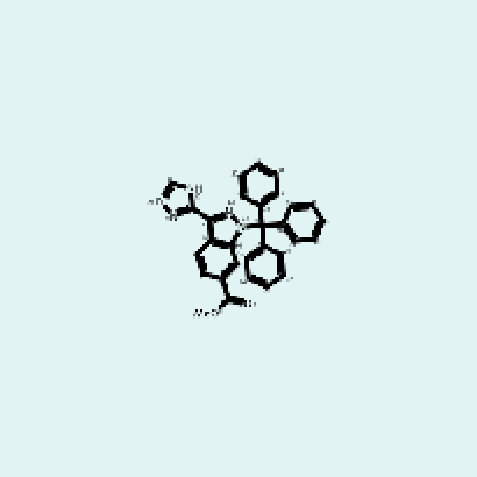 COC(=O)c1ccc2c(-c3nnc[nH]3)nn(C(c3ccccc3)(c3ccccc3)c3ccccc3)c2c1